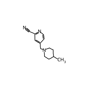 CC1CCN(Cc2ccnc(C#N)c2)CC1